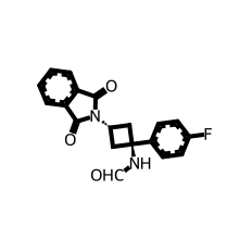 O=CN[C@]1(c2ccc(F)cc2)C[C@@H](N2C(=O)c3ccccc3C2=O)C1